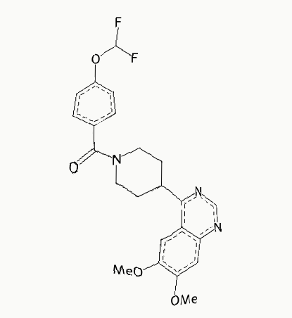 COc1cc2ncnc(C3CCN(C(=O)c4ccc(OC(F)F)cc4)CC3)c2cc1OC